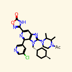 CC(=O)N1CCN(c2nc3cc(-c4noc(=O)[nH]4)nc(-c4cncc(Cl)c4)c3n2C[C@H]2CC[C@H](C)CC2)C(C)C1C